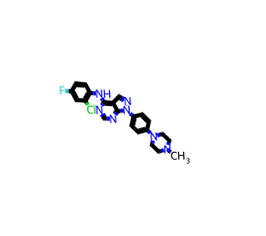 CN1CCN(c2ccc(-n3ncc4c(Nc5ccc(F)cc5Cl)ncnc43)cc2)CC1